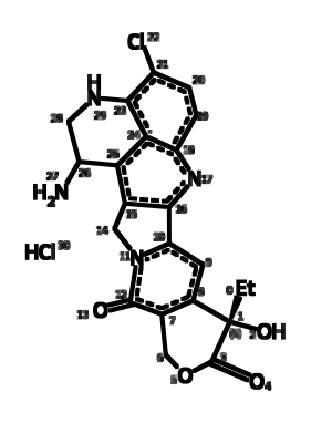 CC[C@@]1(O)C(=O)OCc2c1cc1n(c2=O)Cc2c-1nc1ccc(Cl)c3c1c2C(N)CN3.Cl